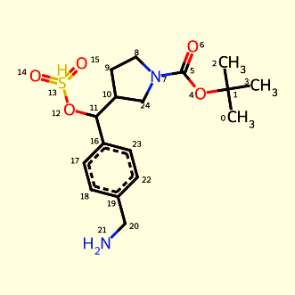 CC(C)(C)OC(=O)N1CCC(C(O[SH](=O)=O)c2ccc(CN)cc2)C1